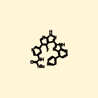 CCCCC(=O)Nc1cncc(-c2cnc3[nH]nc(-c4nc5c(-c6ccncc6)ccnc5[nH]4)c3c2F)c1